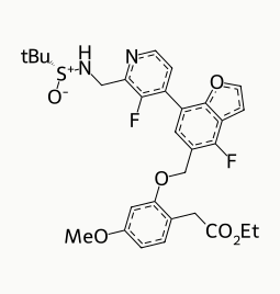 CCOC(=O)Cc1ccc(OC)cc1OCc1cc(-c2ccnc(CN[S@+]([O-])C(C)(C)C)c2F)c2occc2c1F